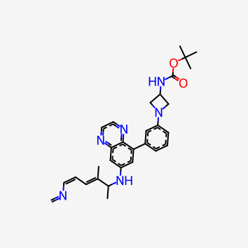 C=N/C=C\C=C(/C)C(C)Nc1cc(-c2cccc(N3CC(NC(=O)OC(C)(C)C)C3)c2)c2nccnc2c1